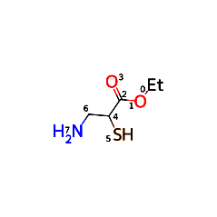 CCOC(=O)C(S)CN